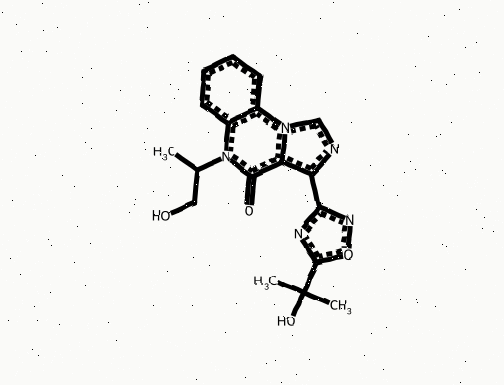 CC(CO)n1c(=O)c2c(-c3noc(C(C)(C)O)n3)ncn2c2ccccc21